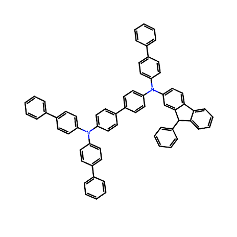 c1ccc(-c2ccc(N(c3ccc(-c4ccccc4)cc3)c3ccc(-c4ccc(N(c5ccc(-c6ccccc6)cc5)c5ccc6c(c5)C(c5ccccc5)c5ccccc5-6)cc4)cc3)cc2)cc1